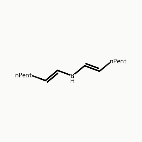 CCCCCC=CBC=CCCCCC